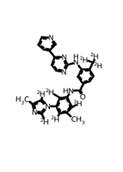 [2H]c1c(C)c([2H])c(-n2c([2H])nc(C)c2[2H])c([2H])c1NC(=O)c1ccc(C([2H])([2H])[2H])c(Nc2nccc(-c3cccnc3)n2)c1